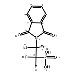 CCC(CC)(N1C(=O)c2ccccc2C1=O)C(F)(F)P(=O)(O)O